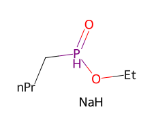 CCCC[PH](=O)OCC.[NaH]